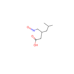 CC(C)CC(CN=O)CC(=O)O